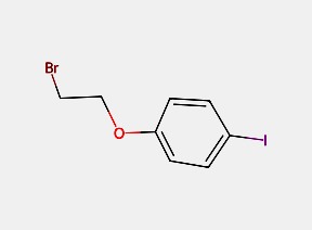 BrCCOc1ccc(I)cc1